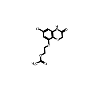 CC(=O)OCCOc1cc(Cl)cc2c1OCC(=O)N2